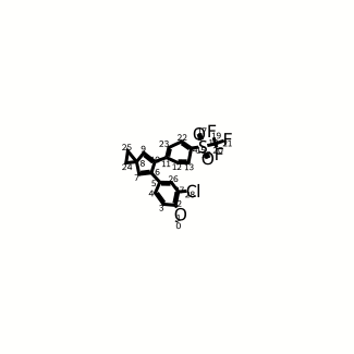 COc1ccc(C2=CC3(C=C2c2ccc(S(=O)(=O)C(F)(F)F)cc2)CC3)cc1Cl